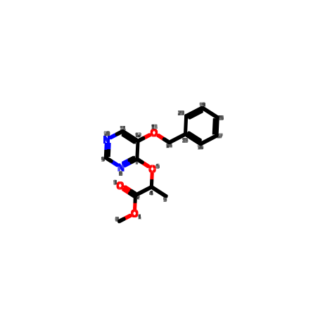 COC(=O)C(C)Oc1ncncc1OCc1ccccc1